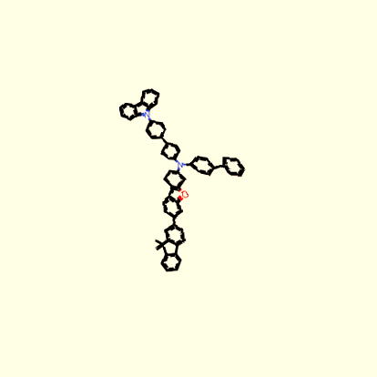 CC1(C)c2ccccc2-c2ccc(-c3ccc4c(c3)oc3cc(N(c5ccc(-c6ccccc6)cc5)c5ccc(-c6ccc(-n7c8ccccc8c8ccccc87)cc6)cc5)ccc34)cc21